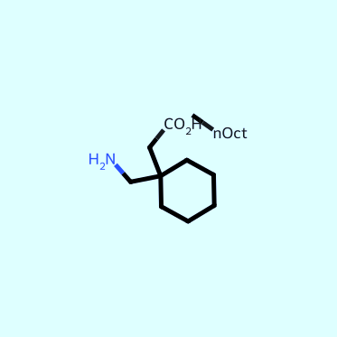 CCCCCCCCC.NCC1(CC(=O)O)CCCCC1